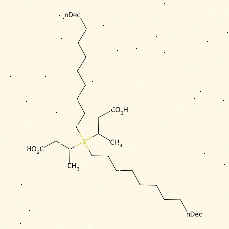 CCCCCCCCCCCCCCCCCCS(CCCCCCCCCCCCCCCCCC)(C(C)CC(=O)O)C(C)CC(=O)O